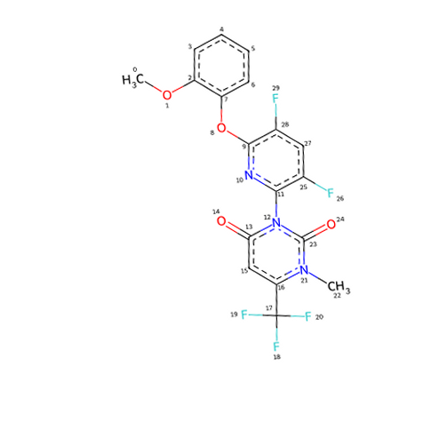 COc1ccccc1Oc1nc(-n2c(=O)cc(C(F)(F)F)n(C)c2=O)c(F)cc1F